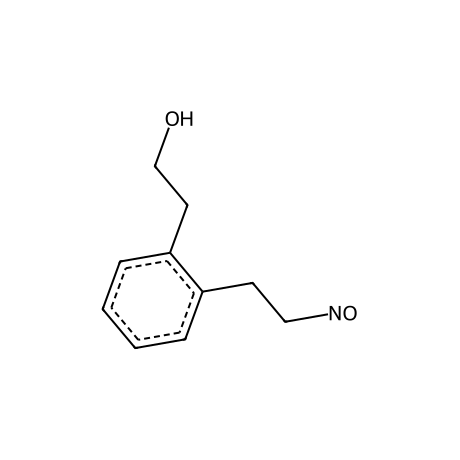 O=NCCc1ccccc1CCO